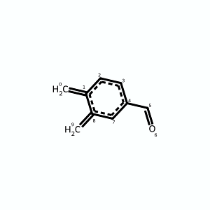 C=c1ccc(C=O)cc1=C